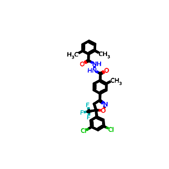 Cc1cc(C2=NOC(c3cc(Cl)cc(Cl)c3)(C(F)(F)F)C2)ccc1C(=O)NNC(=O)c1c(C)cccc1C